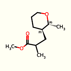 COC(=O)C(C)C[C@H]1CCCO[C@@H]1C